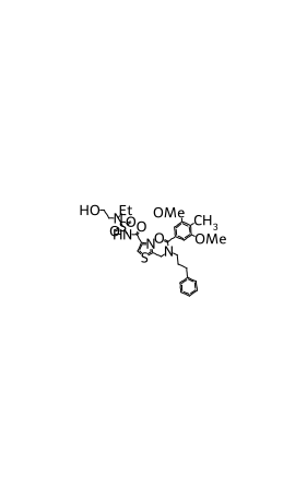 CCN(CCO)S(=O)(=O)NC(=O)c1csc(CN(CCCc2ccccc2)C(=O)c2cc(OC)c(C)c(OC)c2)n1